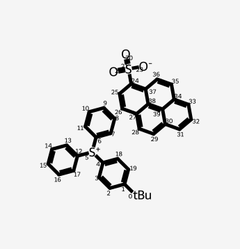 CC(C)(C)c1ccc([S+](c2ccccc2)c2ccccc2)cc1.O=S(=O)([O-])c1ccc2ccc3cccc4ccc1c2c34